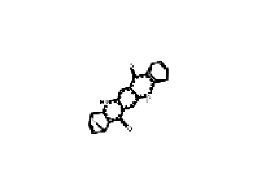 O=c1c2c([nH]c3cc4c(=O)c5c([nH]c4cc13)C1C=CC5CC1)C1C=CC2CC1